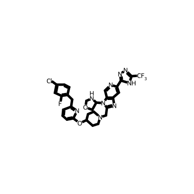 Fc1cc(Cl)ccc1Cc1cccc(OC2CCN(Cc3nc4cc(-c5nnc(C(F)(F)F)[nH]5)ncc4n3C3COCN3)CC2)n1